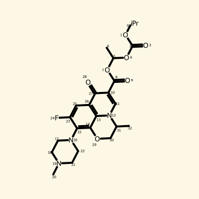 CC(C)OC(=O)OC(C)OC(=O)c1cn2c3c(c(N4CCN(C)CC4)c(F)cc3c1=O)OCC2C